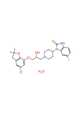 CC1(C)Cc2cc(Cl)cc(OCC(O)CN3CCC(n4c(=O)[nH]c5ccc(F)cc54)CC3)c2O1.O